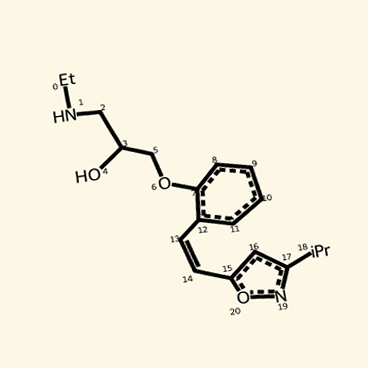 CCNCC(O)COc1ccccc1/C=C\c1cc(C(C)C)no1